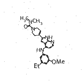 CCc1cc(Nc2ccnc3[nH]c(C4=CCN(C(=O)N(C)C)CC4)cc23)cc(OC)c1